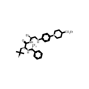 CCOC(=O)C1CCN(c2ccc(NC[C@H](CC)NC(=O)[C@H](CC(C)(C)F)N[C@@H](c3ccccc3)C(F)(F)F)cc2)CC1